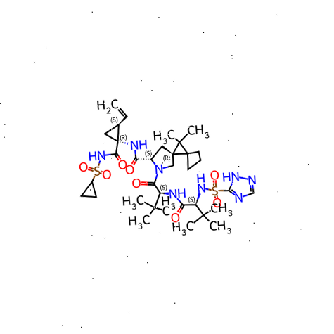 C=C[C@@H]1C[C@]1(NC(=O)[C@@H]1C[C@@]2(CN1C(=O)[C@@H](NC(=O)[C@@H](NS(=O)(=O)c1ncn[nH]1)C(C)(C)C)C(C)(C)C)C(C)(C)C21CCC1)C(=O)NS(=O)(=O)C1CC1